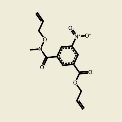 C=CCOC(=O)c1cc(C(=O)N(C)OCC=C)cc([N+](=O)[O-])c1